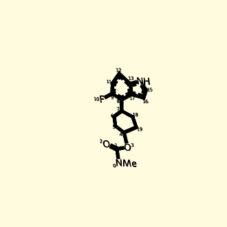 CNC(=O)OC1CCC(c2c(F)ccc3[nH]ccc23)CC1